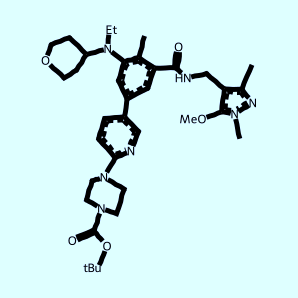 CCN(c1cc(-c2ccc(N3CCN(C(=O)OC(C)(C)C)CC3)nc2)cc(C(=O)NCc2c(C)nn(C)c2OC)c1C)C1CCOCC1